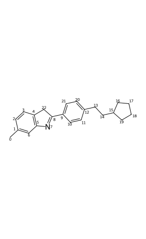 Cc1ccc2c(c1)N=C(c1ccc(CCC3CCCC3)cc1)C2